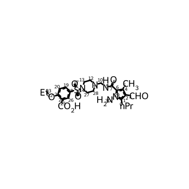 CCCc1c(C=O)c(C)c(C(=O)NCN2CCN(S(=O)(=O)c3ccc(OCC)c(C(=O)O)c3)CC2)n1N